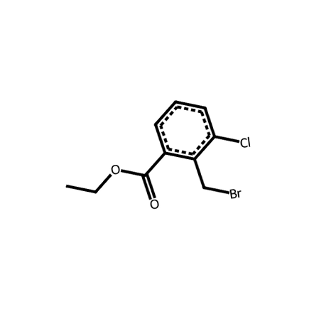 CCOC(=O)c1cccc(Cl)c1CBr